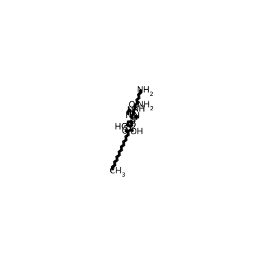 CCCCCCCCCCCCCCCC(=O)C(O)[C@H]1O[C@@H](n2cnc3c(NC(=O)[C@@H](N)CCCCN)ncnc32)C[C@@H]1O